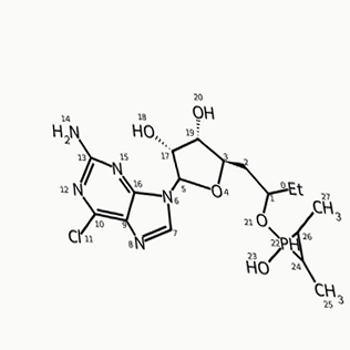 CCC(C[C@H]1OC(n2cnc3c(Cl)nc(N)nc32)[C@H](O)[C@@H]1O)O[PH]1(O)C(C)C1C